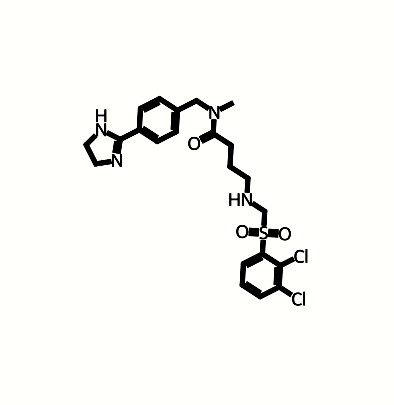 CN(Cc1ccc(C2=NCCN2)cc1)C(=O)CCCNCS(=O)(=O)c1cccc(Cl)c1Cl